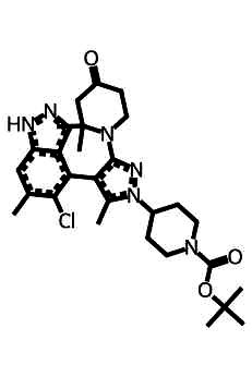 Cc1cc2[nH]ncc2c(-c2c(N3CCC(=O)CC3(C)C)nn(C3CCN(C(=O)OC(C)(C)C)CC3)c2C)c1Cl